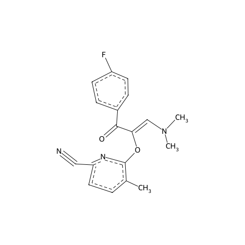 Cc1ccc(C#N)nc1OC(=CN(C)C)C(=O)c1ccc(F)cc1